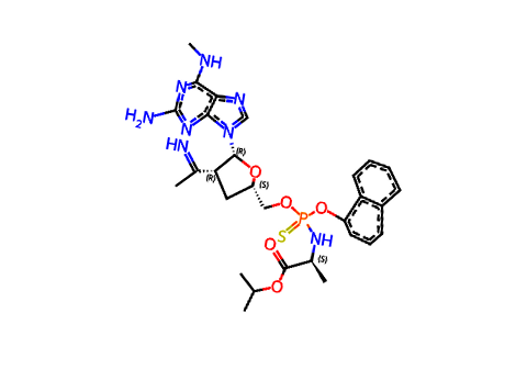 CNc1nc(N)nc2c1ncn2[C@@H]1O[C@H](COP(=S)(N[C@@H](C)C(=O)OC(C)C)Oc2cccc3ccccc23)C[C@@H]1C(C)=N